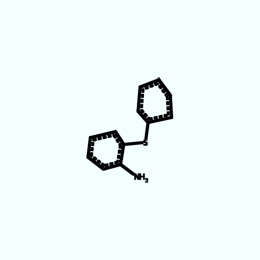 Nc1ccccc1Sc1cc[c]cc1